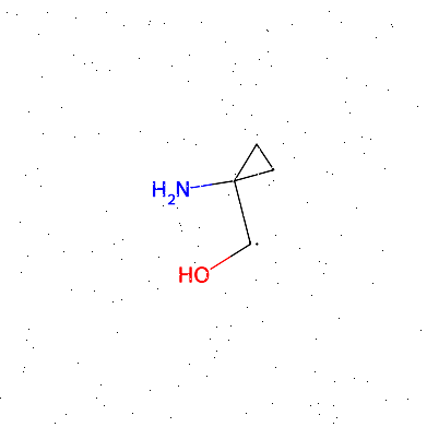 NC1([CH]O)CC1